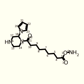 NOC(=O)CCCCCCCC(=O)N1CCNCC1n1cccc1